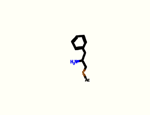 CC(=O)SCC(N)Cc1ccccc1